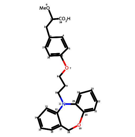 COC(Cc1ccc(OCCCN2c3ccccc3COc3ccccc32)cc1)C(=O)O